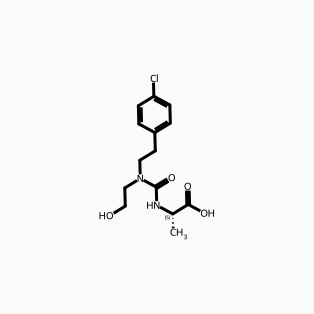 C[C@H](NC(=O)N(CCO)CCc1ccc(Cl)cc1)C(=O)O